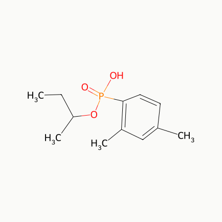 CCC(C)OP(=O)(O)c1ccc(C)cc1C